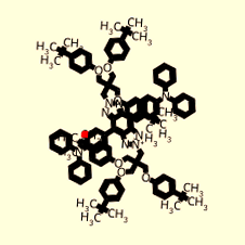 CC(C)(C)c1ccc(OCC(COc2ccc(C(C)(C)C)cc2)(COc2ccc(C(C)(C)C)cc2)Cn2nc3c(-c4ccc(N(c5ccccc5)c5ccccc5)cc4)c4n[n+](CC(COc5ccc(C(C)(C)C)cc5)(COc5ccc(C(C)(C)C)cc5)COc5ccc(C(C)(C)C)cc5)[n-]c4c(-c4ccc(N(c5ccccc5)c5ccccc5)cc4)c3n2)cc1